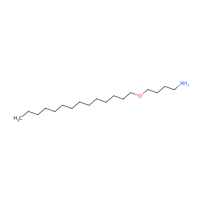 CCCCCCCCCCCCCCOCCCCN